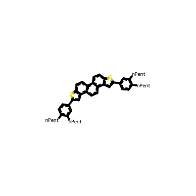 CCCCCc1ccc(-c2cc3c(ccc4c3ccc3c5cc(-c6ccc(CCCCC)c(CCCCC)c6)sc5ccc34)s2)cc1CCCCC